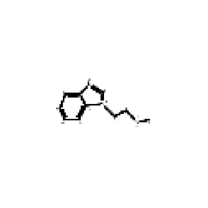 CNCCn1cnc2ccccc21